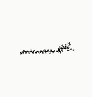 CO[Si](C)(C)CSc1ncc(COCCOCCOCCOCCOCCOCCN=[N+]=[N-])cn1